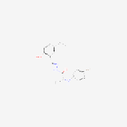 CCC(Nc1ccc(Br)cc1)C(=O)N/N=C/c1cc([N+](=O)[O-])ccc1O